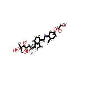 C=C1CC[C@H](OC(=O)CBr)C/C1=C/C=C1\CCC[C@@]2(C)C1CC[C@@H]2[C@H](C)CC(O)C(=O)C(C)(C)O